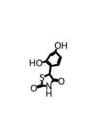 O=C1NC(=O)C(c2ccc(O)cc2O)S1